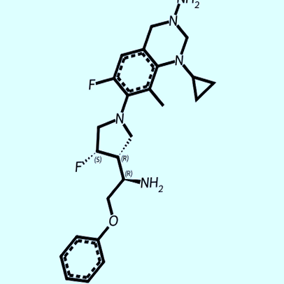 Cc1c(N2C[C@H]([C@@H](N)COc3ccccc3)[C@H](F)C2)c(F)cc2c1N(C1CC1)CN(N)C2